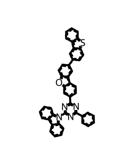 c1ccc(-c2nc(-c3ccc4c(c3)oc3ccc(-c5ccc6sc7ccccc7c6c5)cc34)nc(-n3c4ccccc4c4ccccc43)n2)cc1